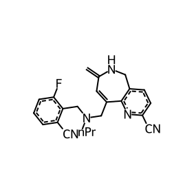 C=C1C=C(CN(CCC)Cc2c(F)cccc2C#N)c2nc(C#N)ccc2CN1